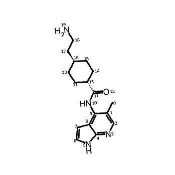 Cc1cnc2[nH]ccc2c1NC(=O)[C@H]1CC[C@H](CCN)CC1